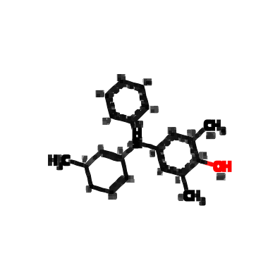 Cc1cc([SiH](C2=CC(C)CC=C2)c2ccccc2)cc(C)c1O